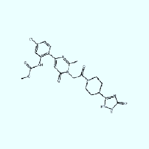 COC(=O)Nc1cc(Cl)ccc1-c1cc(=O)n(CC(=O)N2CCC(c3nc(=O)[nH][nH]3)CC2)c(C)n1